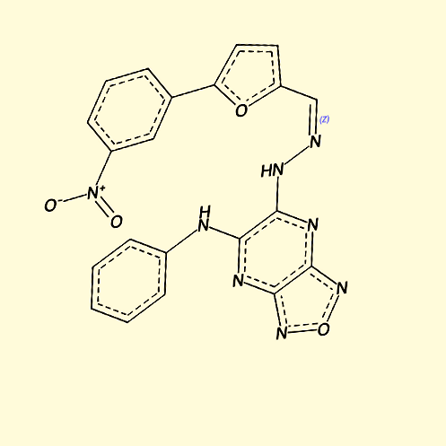 O=[N+]([O-])c1cccc(-c2ccc(/C=N\Nc3nc4nonc4nc3Nc3ccccc3)o2)c1